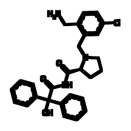 NCc1ccc(Cl)cc1CN1CCC[C@H]1C(=O)NC(=O)C(O)(c1ccccc1)c1ccccc1